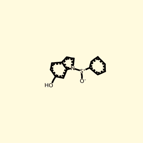 [O-][S+](c1ccccc1)n1ccc2ccc(O)cc21